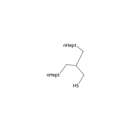 CCCCCCCCC(CS)CCCCCCCC